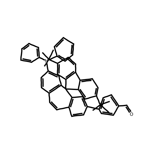 CC(C)(C)c1ccc2c(c1)C1(c3cc(-c4ccc(C=O)cc4)ccc3C=Cc3ccc(N(c4ccccc4)c4ccccc4)cc31)c1cc(C(C)(C)C)ccc1-2